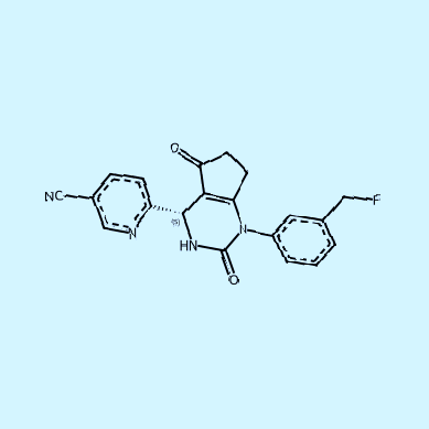 N#Cc1ccc([C@H]2NC(=O)N(c3cccc(CF)c3)C3=C2C(=O)CC3)nc1